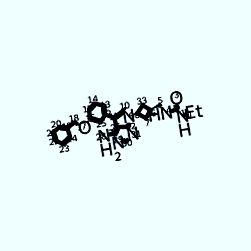 CCNC(=O)NC[C@H]1C[C@H](n2cc(-c3cccc(OCc4ccccc4)c3)c3c(N)ncnc32)C1